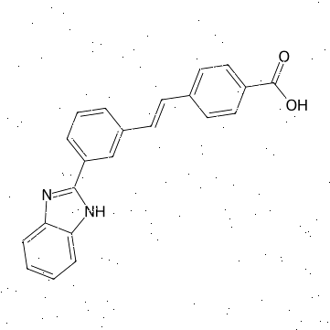 O=C(O)c1ccc(/C=C/c2cccc(-c3nc4ccccc4[nH]3)c2)cc1